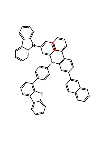 c1ccc(-c2ccc(-c3ccc4ccccc4c3)cc2N(c2ccc(-c3cccc4c3sc3ccccc34)cc2)c2cccc(-n3c4ccccc4c4ccccc43)c2)cc1